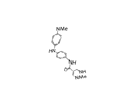 CN/C=C(\C=N)C(=O)Nc1ccc(Nc2ccc(NC)cc2)cc1